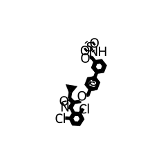 CS(=O)(=O)NC(=O)c1cccc(C23CCC(COCc4c(-c5c(Cl)cccc5Cl)noc4C4CC4)(CC2)CO3)c1